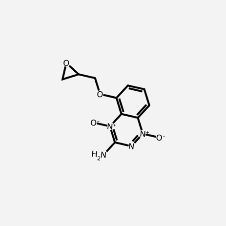 Nc1n[n+]([O-])c2cccc(OCC3CO3)c2[n+]1[O-]